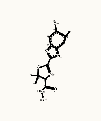 Cc1cc2nc(C3=NC(C(=O)NS)C(C)(C)S3)sc2cc1O